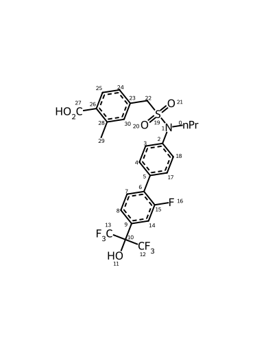 CCCN(c1ccc(-c2ccc(C(O)(C(F)(F)F)C(F)(F)F)cc2F)cc1)S(=O)(=O)Cc1ccc(C(=O)O)c(C)c1